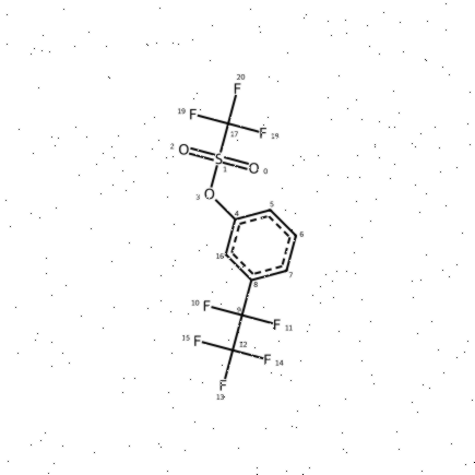 O=S(=O)(Oc1cccc(C(F)(F)C(F)(F)F)c1)C(F)(F)F